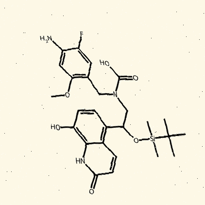 COc1cc(N)c(F)cc1CN(CC(O[Si](C)(C)C(C)(C)C)c1ccc(O)c2[nH]c(=O)ccc12)C(=O)O